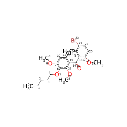 CCCCCOc1c(OC)cc(C)c(C(=O)c2c(OC)ccc(Br)c2C)c1OC